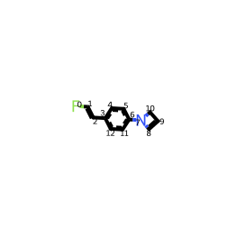 FC=Cc1ccc(N2C=CC2)cc1